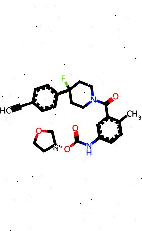 C#Cc1ccc(C2(F)CCN(C(=O)c3cc(NC(=O)O[C@@H]4CCOC4)ccc3C)CC2)cc1